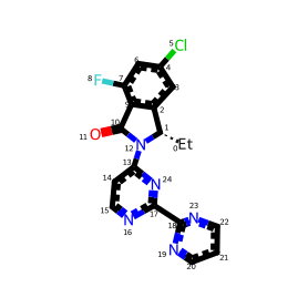 CC[C@H]1c2cc(Cl)cc(F)c2C(=O)N1c1ccnc(-c2ncccn2)n1